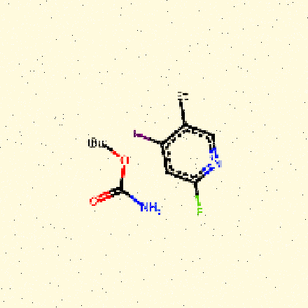 CC(C)(C)OC(N)=O.CCc1cnc(F)cc1I